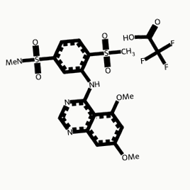 CNS(=O)(=O)c1ccc(S(C)(=O)=O)c(Nc2ncnc3cc(OC)cc(OC)c23)c1.O=C(O)C(F)(F)F